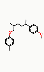 COc1ccc(C(C)CCC(C)COc2ccc(C)cc2)cc1